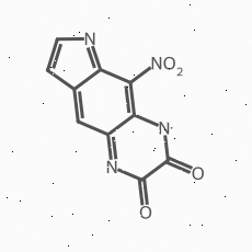 O=C1[N]c2c([N+](=O)[O-])c3c(cc2=NC1=O)C=CN=3